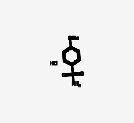 COc1ccc(S(N)(=O)=O)cc1.Cl